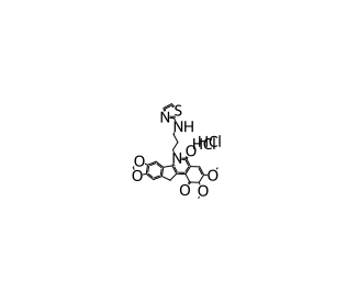 COC1=Cc2c(c3c(n(CCCNc4nccs4)c2=O)-c2cc4c(cc2C3)OCO4)C(=O)C1OC.Cl.Cl